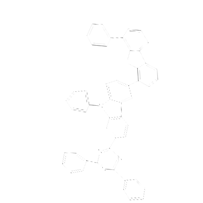 c1ccc(-c2nc(-c3ccccc3)nc(-c3ccc4c5cc(-c6cccc7c6oc6c(-c8ccccc8)cccc67)ccc5n(-c5ccccc5)c4c3)n2)cc1